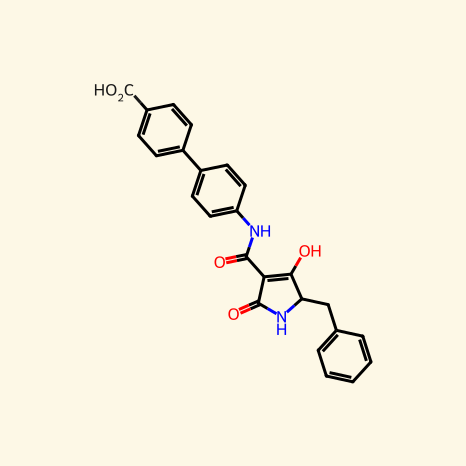 O=C(Nc1ccc(-c2ccc(C(=O)O)cc2)cc1)C1=C(O)C(Cc2ccccc2)NC1=O